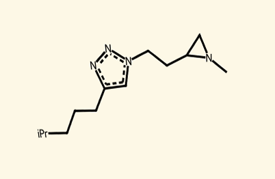 CC(C)CCCc1cn(CCC2CN2C)nn1